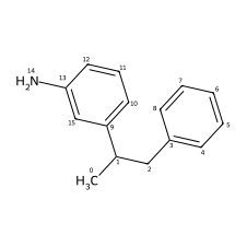 CC(Cc1ccccc1)c1cccc(N)c1